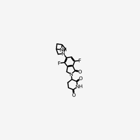 O=C1CCC(N2Cc3c(F)c(N4CC5CC(C4)N5)cc(F)c3C2=O)C(=O)N1